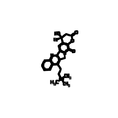 CC[C@@]1(O)CC(=O)Oc2c1cc1n(c2=O)Cc2c-1nc1ccccc1c2C[CH2][Ge]([CH3])([CH3])[CH3]